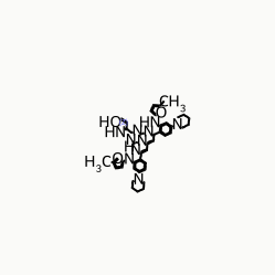 Cc1ccc(Nc2cc(N3CCCCC3)ccc2C2=CC3=CC(c4ccc(N5CCCCC5)cc4Nc4ccc(C)o4)=NC4=NC(C(=N)/C=C\O)=NC(=N2)N34)o1